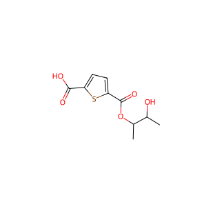 CC(O)C(C)OC(=O)c1ccc(C(=O)O)s1